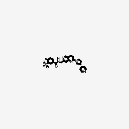 Cc1ccc(C(=O)NCc2cc3nc(N4CC[C@H](c5ccncc5)C4)ccc3cn2)cc1S(C)(=O)=O